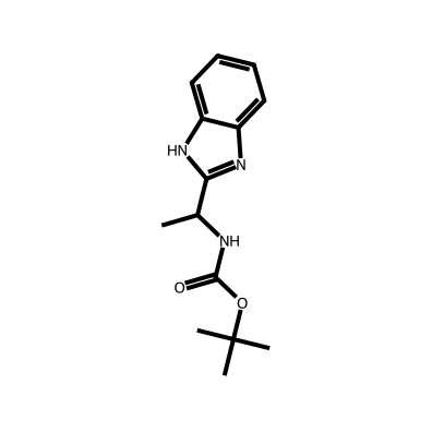 CC(NC(=O)OC(C)(C)C)c1nc2ccccc2[nH]1